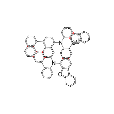 c1ccc(-c2ccccc2N(c2cc(-c3ccccc3)c3c(-c4ccccc4)ccc(N(c4ccccc4-c4ccccc4)c4cccc5c4oc4ccccc45)c3c2)c2cccc3c2oc2ccccc23)cc1